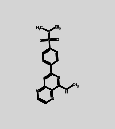 CNc1nc(-c2ccc(S(=O)(=O)N(C)C)cc2)cc2nccnc12